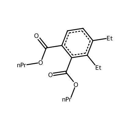 CCCOC(=O)c1ccc(CC)c(CC)c1C(=O)OCCC